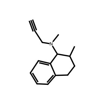 C#CCN(C)C1c2ccccc2CCC1C